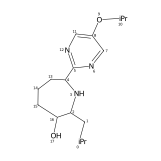 CC(C)CC1NC(c2ncc(OC(C)C)cn2)CCCC1O